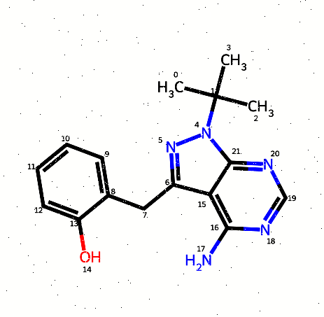 CC(C)(C)n1nc(Cc2ccccc2O)c2c(N)ncnc21